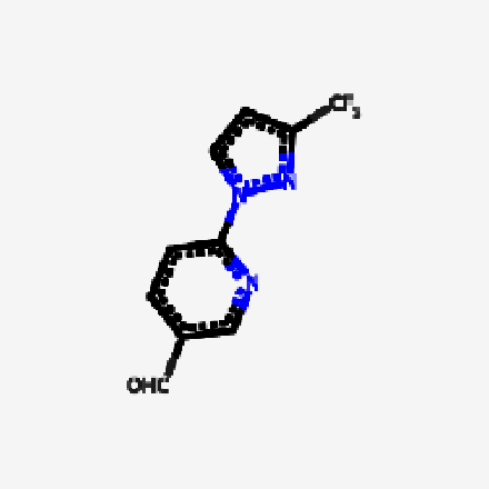 O=Cc1ccc(-n2ccc(C(F)(F)F)n2)nc1